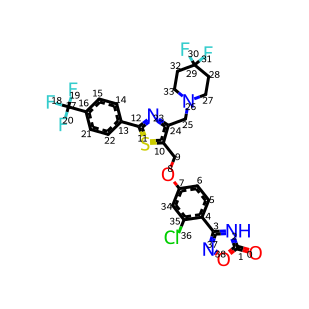 O=c1[nH]c(-c2ccc(OCc3sc(-c4ccc(C(F)(F)F)cc4)nc3CN3CCC(F)(F)CC3)cc2Cl)no1